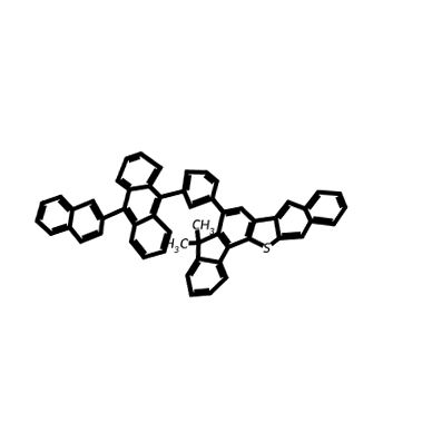 CC1(C)c2ccccc2-c2c1c(-c1cccc(-c3c4ccccc4c(-c4ccc5ccccc5c4)c4ccccc34)c1)cc1c2sc2cc3ccccc3cc21